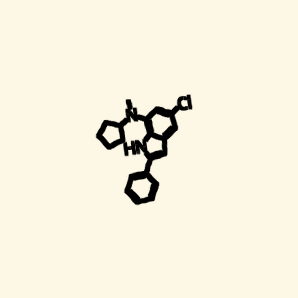 CN(c1cc(Cl)cc2cc(-c3ccccc3)[nH]c12)C1CCCC1